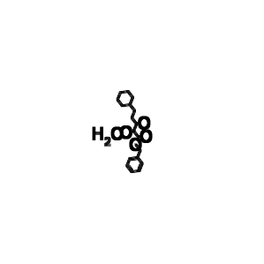 O.O=C(CCC1CCCCC1)C(=O)C(=O)OCc1ccccc1